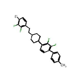 CCc1ccc(CCC2CCC(c3ccc(-c4ccc(C)cc4)c(F)c3F)CC2)c(F)c1F